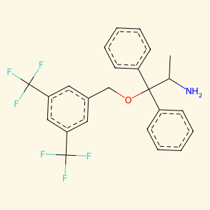 CC(N)C(OCc1cc(C(F)(F)F)cc(C(F)(F)F)c1)(c1ccccc1)c1ccccc1